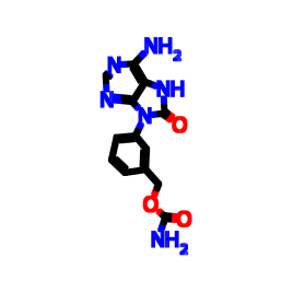 NC(=O)OCc1cccc(-n2c(=O)[nH]c3c(N)ncnc32)c1